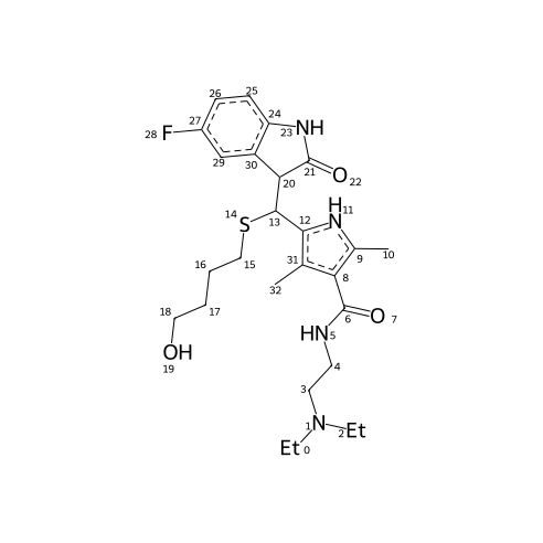 CCN(CC)CCNC(=O)c1c(C)[nH]c(C(SCCCCO)C2C(=O)Nc3ccc(F)cc32)c1C